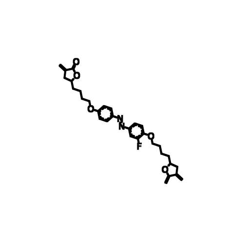 C=C1CC(CCCCOc2ccc(N=Nc3ccc(OCCCCC4CC(=C)C(=O)O4)cc3)cc2F)OC1=C